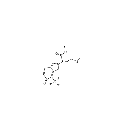 COC(=O)[C@H](CCSC)N1C=C2C=CC(=O)C(C(F)(F)F)=C2C1